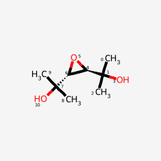 CC(C)(O)[C@@H]1O[C@H]1C(C)(C)O